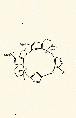 COc1cc2c3cc1Oc1c(OC)c(OC)cc4c1[C@H](Cc1ccc(cc1)Oc1cc(ccc1Br)C[C@H]3N(C)CC2)N(C)CC4